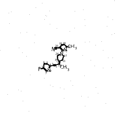 CC(C#Cc1ccc(F)cn1)=C1CCN(c2nc(C)ccc2C#N)CC1